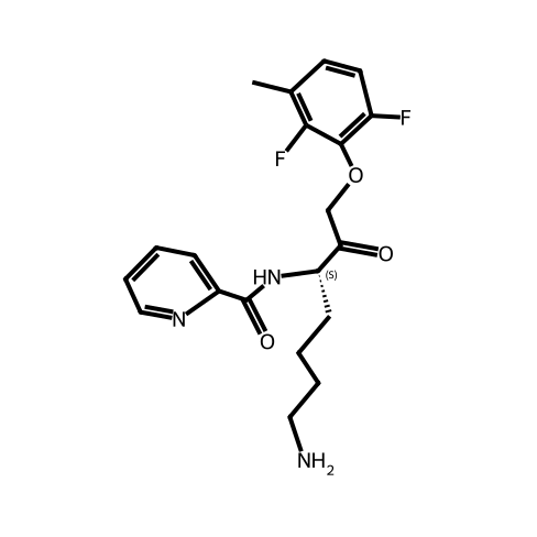 Cc1ccc(F)c(OCC(=O)[C@H](CCCCN)NC(=O)c2ccccn2)c1F